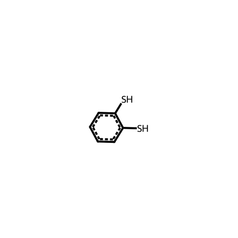 Sc1ccccc1S